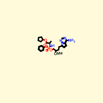 COC(CCc1ccc2c(N)ncnn12)COP(=O)(NC(C)C(=O)OC1CCCC1)Oc1ccccc1